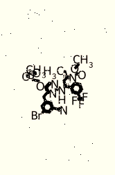 CCOC(=O)N1c2ccc(C(F)(F)F)cc2[C@@H](Nc2ncc(OCCS(C)(=O)=O)c(Cc3cc(Br)cc(C#N)c3)n2)C[C@H]1CC